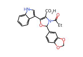 CCC(=O)N1C(C(=O)O)=C(c2c[nH]c3ccccc23)OC1c1ccc2c(c1)OCO2